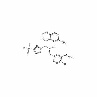 COc1cc(CN(Cc2ccc(C(F)(F)F)o2)Cc2c(C)ccc3ccccc23)ccc1Br